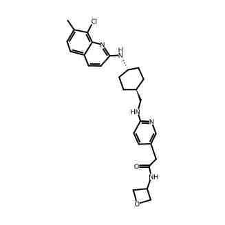 Cc1ccc2ccc(N[C@H]3CC[C@H](CNc4ccc(CC(=O)NC5COC5)cn4)CC3)nc2c1Cl